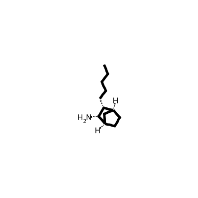 CCCCC[C@@H]1[C@H]2CC[C@H](C2)[C@@H]1N